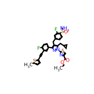 CCOC(=O)c1csc(-n2nc(-c3ccc(F)c(C#Cc4ccc(C)s4)c3)c(Cc3ccc([S+](N)[O-])c(F)c3)c2CC2CC2)n1